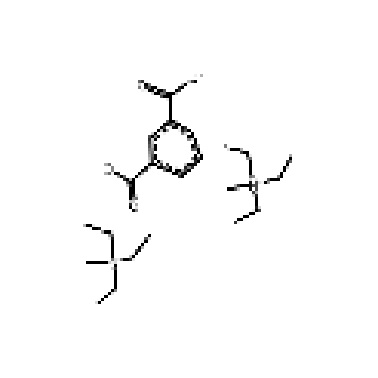 CC[N+](C)(CC)CC.CC[N+](C)(CC)CC.O=C([O-])c1cccc(C(=O)[O-])c1